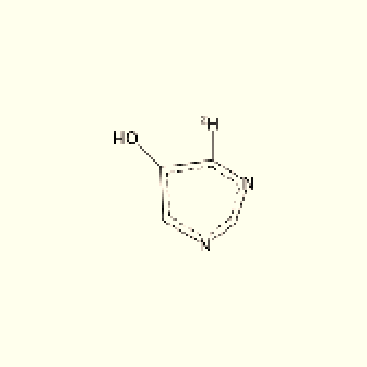 [2H]c1ncncc1O